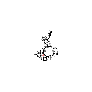 CC[C@H]1OC(=O)[C@H](C)[C@@H](O[C@H]2C[C@@](C)(OC)[C@](O)(CNCC3CC3)[C@H](C)O2)[C@H](C)[C@@H](O[C@@H]2O[C@H](C)C[C@H](N(C)C)[C@H]2Oc2ccccc2)[C@](C)(O)C[C@@H](C)CN[C@H](C)[C@@H](O)[C@]1(C)O